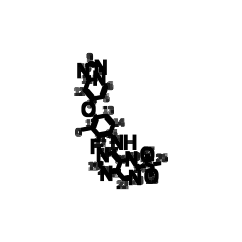 Cc1c(Oc2ccn3ncnc3c2)ccc(Nc2ncnc3cnc(S(C)(=O)=O)nc23)c1F